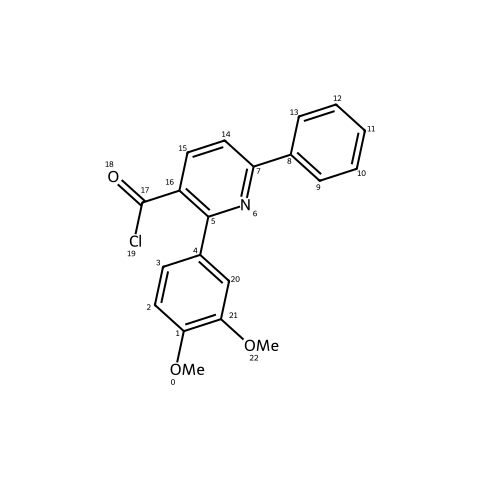 COc1ccc(-c2nc(-c3ccccc3)ccc2C(=O)Cl)cc1OC